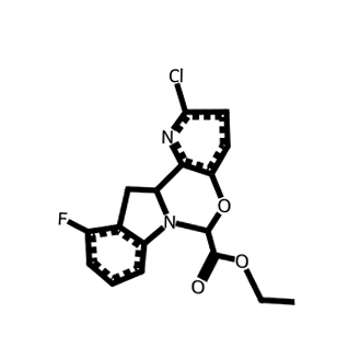 CCOC(=O)C1Oc2ccc(Cl)nc2C2Cc3c(F)cccc3N12